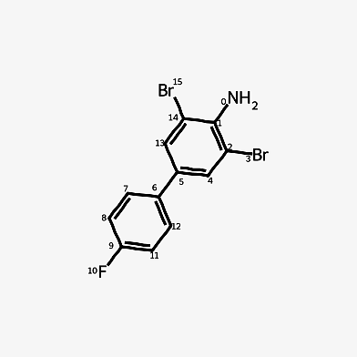 Nc1c(Br)cc(-c2ccc(F)cc2)cc1Br